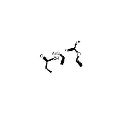 C=COC(=O)CC.C=COC(C)=O.CCC(=O)O